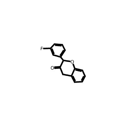 O=C1Cc2ccccc2OC1c1cccc(F)c1